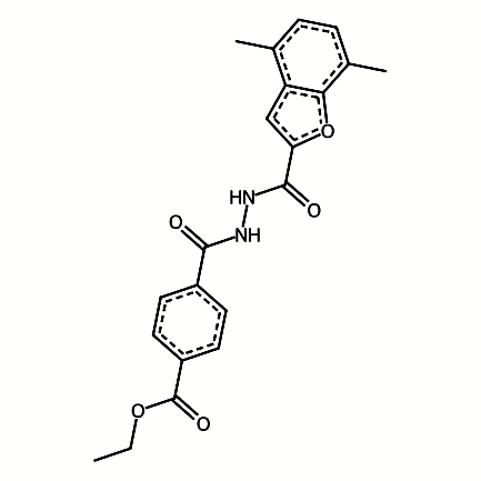 CCOC(=O)c1ccc(C(=O)NNC(=O)c2cc3c(C)ccc(C)c3o2)cc1